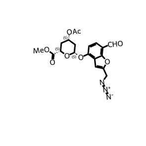 COC(=O)[C@@H]1C[C@H](OC(C)=O)C[C@H](Oc2ccc(C=O)c3oc(CN=[N+]=[N-])cc23)O1